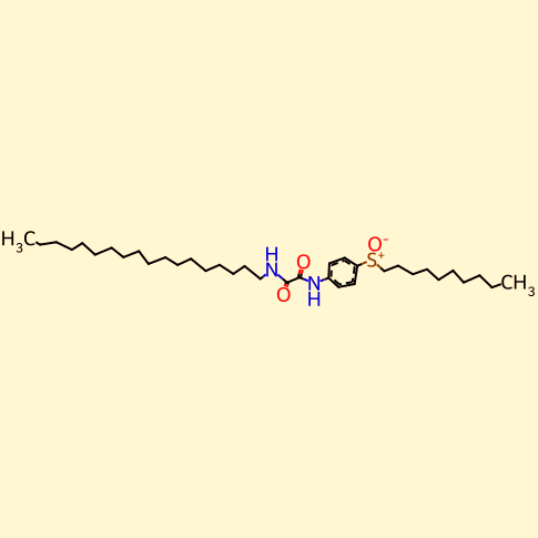 CCCCCCCCCCCCCCCCCCNC(=O)C(=O)Nc1ccc([S+]([O-])CCCCCCCCCC)cc1